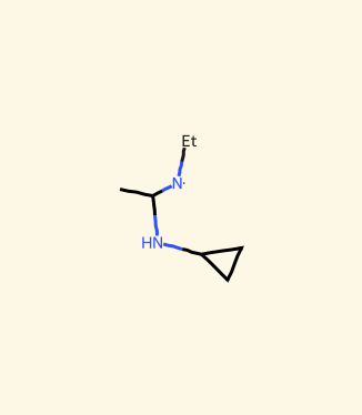 CC[N]C(C)NC1CC1